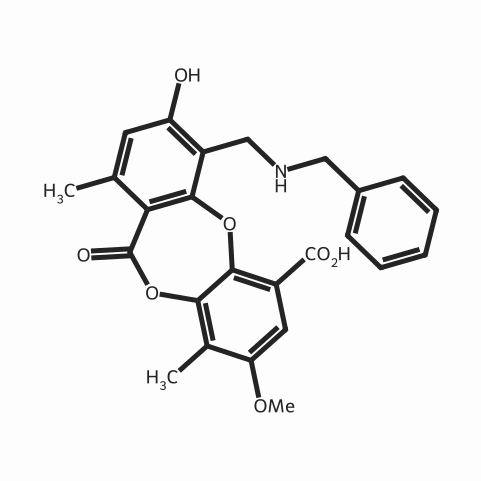 COc1cc(C(=O)O)c2c(c1C)OC(=O)c1c(C)cc(O)c(CNCc3ccccc3)c1O2